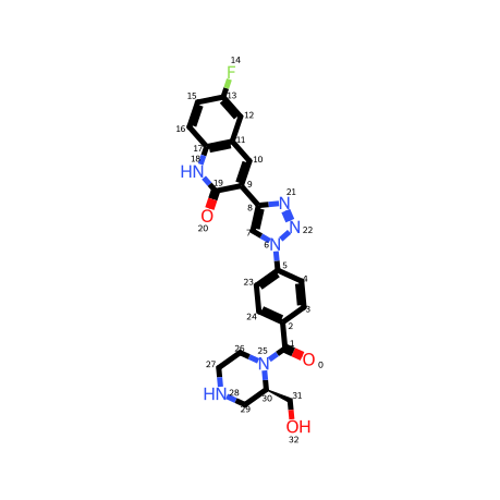 O=C(c1ccc(-n2cc(-c3cc4cc(F)ccc4[nH]c3=O)nn2)cc1)N1CCNC[C@@H]1CO